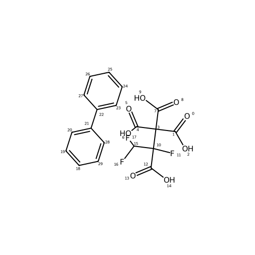 O=C(O)C(C(=O)O)(C(=O)O)C(F)(C(=O)O)C(F)F.c1ccc(-c2ccccc2)cc1